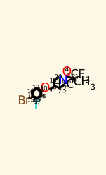 CC(C)(C(=O)N1CCC(COc2ccc(Br)c(F)c2)CC1)C(F)(F)F